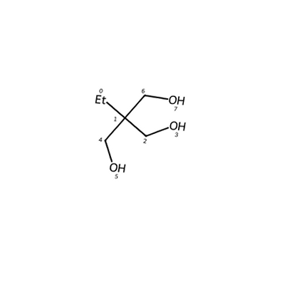 [CH2]CC(CO)(CO)CO